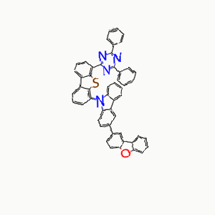 c1ccc(-c2nc(-c3ccccc3)nc(-c3cccc4c3sc3c(-n5c6ccccc6c6cc(-c7ccc8oc9ccccc9c8c7)ccc65)cccc34)n2)cc1